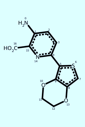 Nc1ccc(-c2scc3c2OCCO3)nc1C(=O)O